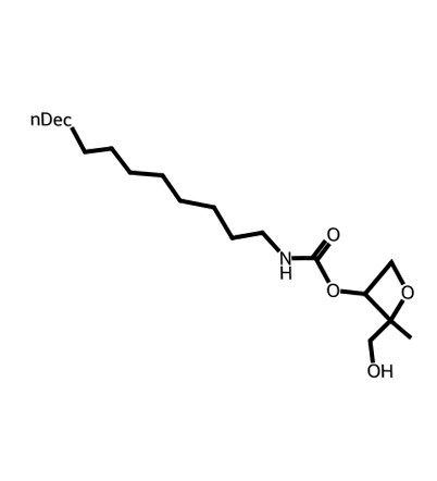 CCCCCCCCCCCCCCCCCCNC(=O)OC1COC1(C)CO